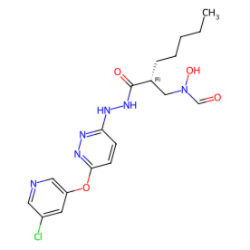 CCCCC[C@H](CN(O)C=O)C(=O)NNc1ccc(Oc2cncc(Cl)c2)nn1